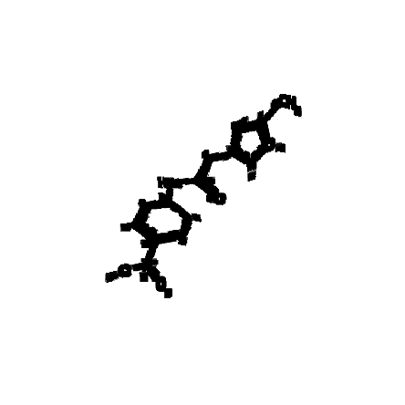 Cc1nc(CC(=O)Nc2ccc([N+](=O)[O-])cc2)no1